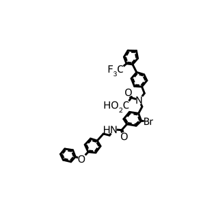 O=C(O)C(=O)N(Cc1ccc(-c2ccccc2C(F)(F)F)cc1)Cc1ccc(C(=O)NCCc2ccc(Oc3ccccc3)cc2)cc1Br